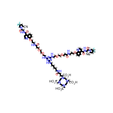 N#C[C@@H]1CC(F)(F)CN1C(=O)CNC(=O)c1ccnc2c(OCCCNC(=O)CCOCCOCCNc3nc(NCCCCCCNC(=O)CCC(C(=O)O)N4CCN(CC(=O)O)CCN(CC(=O)O)CCN(CC(=O)O)CC4)nc(NCCOCCOCCC(=O)NCCCOc4cccc5c(C(=O)NCC(=O)N6CC(F)(F)C[C@H]6C#N)ccnc45)n3)cccc12